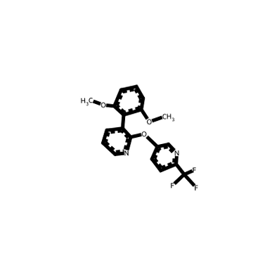 COc1cccc(OC)c1-c1cccnc1Oc1ccc(C(F)(F)F)nc1